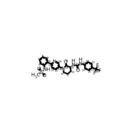 CS(=O)(=O)Nc1ccccc1-c1ccc(N2CCC[C@@H](NC(=O)Nc3ccc(C(F)(F)F)cc3)C2=O)cn1